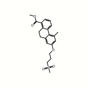 COC(=O)c1cccc2c1CCc1cc(OCCCS(C)(=O)=O)cc(C)c1-2